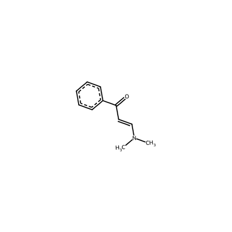 CN(C)C=CC(=O)c1ccccc1